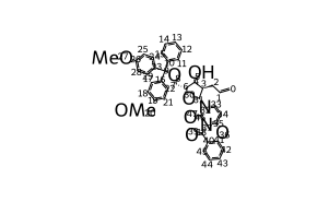 C=CC[C@@H]1[C@H](O)[C@@H](COC(c2ccccc2)(c2ccc(OC)cc2)c2ccc(OC)cc2)O[C@H]1n1ccc(=O)n(C(=O)c2ccccc2)c1=O